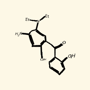 CCN(CC)c1cc(C(=O)c2ccccc2O)c(O)cc1N